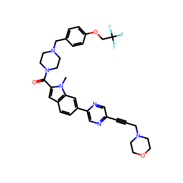 Cn1c(C(=O)N2CCN(Cc3ccc(OCC(F)(F)F)cc3)CC2)cc2ccc(-c3cnc(C#CCN4CCOCC4)cn3)cc21